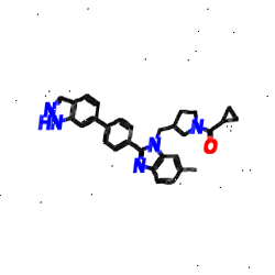 Cc1ccc2nc(-c3ccc(-c4ccc5cn[nH]c5c4)cc3)n(CC3CCN(C(=O)C4CC4)C3)c2c1